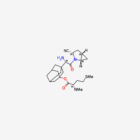 CN[C@@H](CCSC)C(=O)OC12CC3CC(C1)CC([C@H](N)C(=O)N1[C@H](C#N)C[C@@H]4C[C@@H]41)(C3)C2